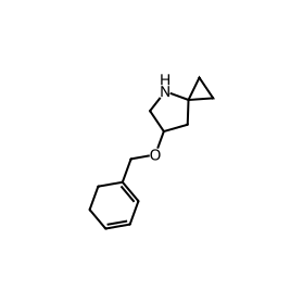 C1=CCCC(COC2CNC3(CC3)C2)=C1